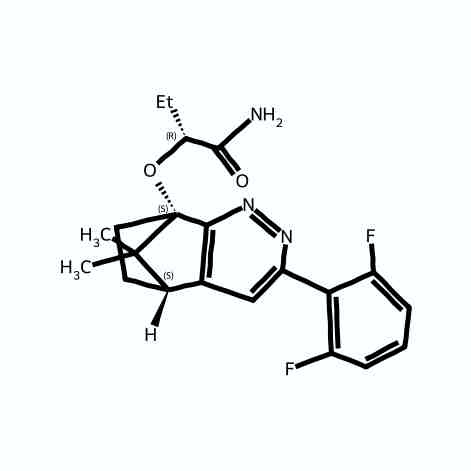 CC[C@@H](O[C@]12CC[C@@H](c3cc(-c4c(F)cccc4F)nnc31)C2(C)C)C(N)=O